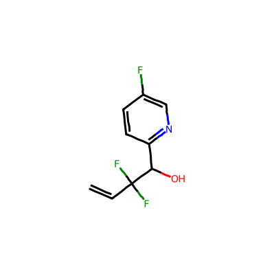 C=CC(F)(F)C(O)c1ccc(F)cn1